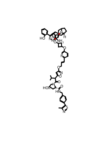 Cc1ncsc1-c1ccc(CNC(=O)[C@@H]2C[C@@H](O)CN2C(=O)C(c2cc(OCC=Cc3ccc(OC4CC(Oc5cc(N6C7CC[C@@H]6CN(c6cc(-c8ccccc8O)nnc6N)C7)ccn5)C4)cn3)no2)C(C)C)cc1